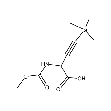 COC(=O)NC(C#C[Si](C)(C)C)C(=O)O